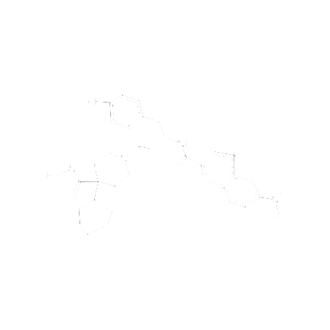 CC(=O)N(C)c1ccc2oc(C(=O)N[C@H](CCN3CCC(C(=O)NC(C)(C)C)(C4CCCCC4)CC3)Cc3ccc(Cl)cc3)cc(=O)c2c1